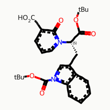 CC(C)(C)OC(=O)[C@H](Cc1cn(C(=O)OC(C)(C)C)c2ccccc12)n1cccc(C(=O)O)c1=O